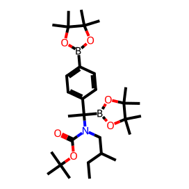 CCC(C)CN(C(=O)OC(C)(C)C)C(C)(B1OC(C)(C)C(C)(C)O1)c1ccc(B2OC(C)(C)C(C)(C)O2)cc1